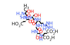 C[C@@H](O)[C@H](N)C(=O)N[C@@H](CCC(=O)O)C(=O)N[C@@H](CO)C(=O)N[C@@H](CCCNC(=N)N)C(=O)NCC(=O)N[C@@H](CO)C(=O)N[C@@H](CCC(=O)O)C(=O)O